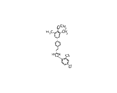 COc1c(C)cc(-c2ccc(C=Cc3nc(-c4ccc(Cl)cc4Cl)c[nH]3)cc2)cc1C